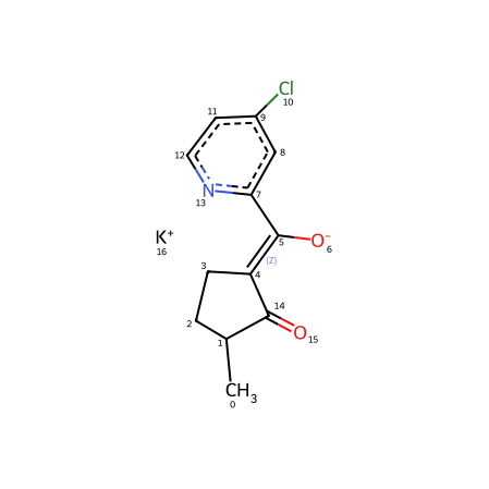 CC1CC/C(=C(/[O-])c2cc(Cl)ccn2)C1=O.[K+]